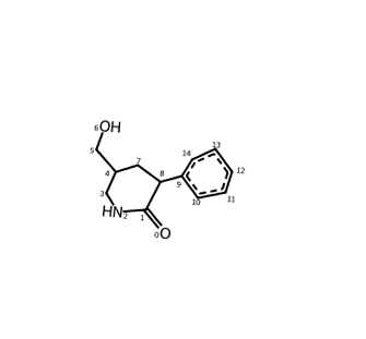 O=C1NCC(CO)CC1c1ccccc1